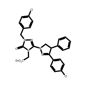 CCOC(=O)Cn1c(N2CC(c3ccccc3)C(c3ccc(Cl)cc3)=N2)nn(Cc2ccc(Cl)cc2)c1=O